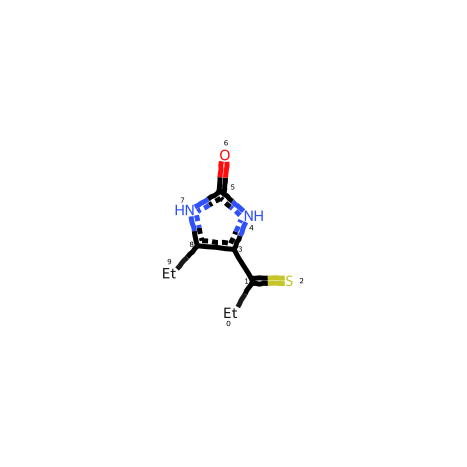 CCC(=S)c1[nH]c(=O)[nH]c1CC